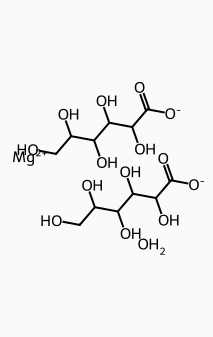 O.O=C([O-])C(O)C(O)C(O)C(O)CO.O=C([O-])C(O)C(O)C(O)C(O)CO.[Mg+2]